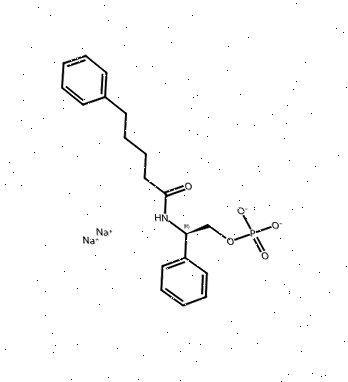 O=C(CCCCc1ccccc1)N[C@@H](COP(=O)([O-])[O-])c1ccccc1.[Na+].[Na+]